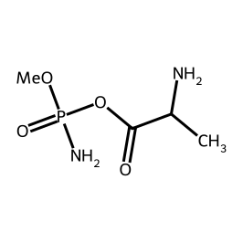 COP(N)(=O)OC(=O)C(C)N